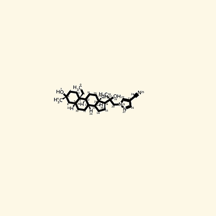 CC[C@]12CC[C@@](C)(O)C[C@H]1CC[C@H]1[C@@H]3CC[C@H]([C@](C)(O)Cn4cc(C#N)cn4)[C@@]3(C)CC[C@@H]12